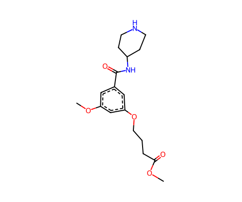 COC(=O)CCCOc1cc(OC)cc(C(=O)NC2CCNCC2)c1